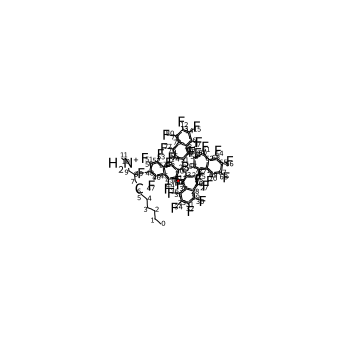 CCCCCCCCCC[NH2+]C.Fc1c(F)c(F)c2c(F)c([B-](c3c(F)c(F)c4c(F)c(F)c(F)c(F)c4c3F)(c3c(F)c(F)c4c(F)c(F)c(F)c(F)c4c3F)c3c(F)c(F)c4c(F)c(F)c(F)c(F)c4c3F)c(F)c(F)c2c1F